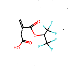 C=C(CC(=O)O)C(=O)OC(C(F)(F)F)C(F)(F)F